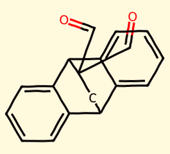 O=CC1(C=O)CC2c3ccccc3C1c1ccccc12